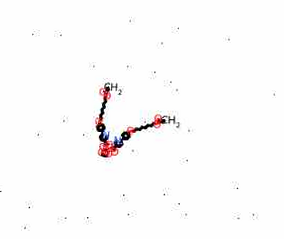 C=CC(=O)OCCCCCCCCOc1ccc(-c2ccc(C(=O)O[C@H]3OCCO[C@@H]3OC(=O)c3ccc(-c4ccc(OCCCCCCCCOC(=O)C=C)cc4)nc3)cn2)cc1